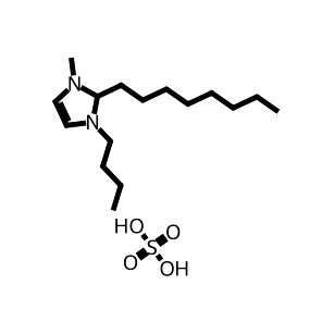 CCCCCCCCC1N(C)C=CN1CCCC.O=S(=O)(O)O